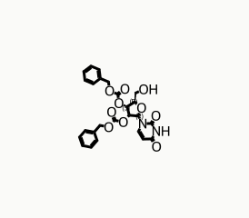 O=C(OCc1ccccc1)OC1[C@@H](OC(=O)OCc2ccccc2)[C@@H](CO)O[C@H]1n1ccc(=O)[nH]c1=O